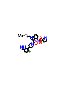 COCCn1cc(C(=O)N2CCC(c3cc(CN)ccc3F)CC2)c2c(NS(=O)(=O)c3cccnc3)cccc21